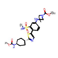 CCNS(=O)(=O)c1cc(NC2(C)CN(C(=O)OC(C)(C)C)C2)ccc1-c1cnc([C@H]2CC[C@H](NC(=O)OC(C)C)CC2)s1